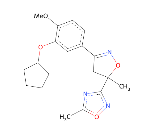 COc1ccc(C2=NOC(C)(c3noc(C)n3)C2)cc1OC1CCCC1